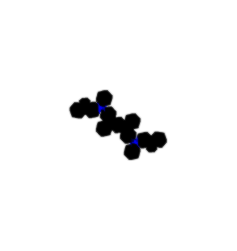 CC1(C)c2ccccc2-c2ccc(N(c3ccccc3)c3ccc4c(c3)c3ccccc3c3cc5c6ccc(N(c7ccccc7)c7ccc8c(c7)C(C)(C)c7ccccc7-8)cc6c6ccccc6c5cc43)cc21